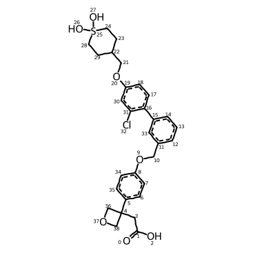 O=C(O)CC1(c2ccc(OCc3cccc(-c4ccc(OCC5CCS(O)(O)CC5)cc4Cl)c3)cc2)COC1